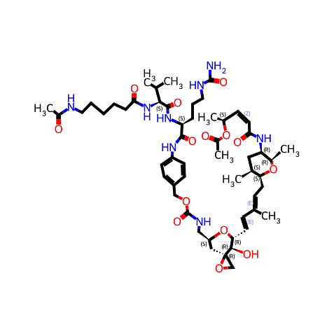 CC(=O)NCCCCCC(=O)N[C@H](C(=O)N[C@@H](CCCNC(N)=O)C(=O)Nc1ccc(COC(=O)NC[C@@H]2C[C@@]3(CO3)[C@H](O)[C@@H](/C=C/C(C)=C/C[C@@H]3O[C@H](C)[C@H](NC(=O)/C=C\[C@H](C)OC(C)=O)C[C@@H]3C)O2)cc1)C(C)C